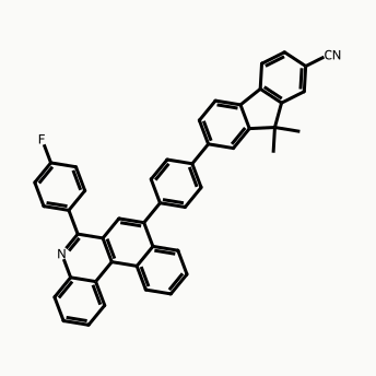 CC1(C)c2cc(C#N)ccc2-c2ccc(-c3ccc(-c4cc5c(-c6ccc(F)cc6)nc6ccccc6c5c5ccccc45)cc3)cc21